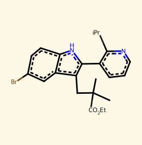 CCOC(=O)C(C)(C)Cc1c(-c2cccnc2C(C)C)[nH]c2ccc(Br)cc12